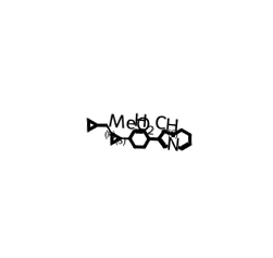 C=C1C(C2C=C(OC)C([C@H]3C[C@H]3CC3CC3)CC2)=CN2C=CCC[C@@H]12